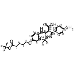 CC(C)(C)OC(=O)CCCCOc1ccc(Nc2c(C(N)=O)c(-c3ccc(N)cc3)nn2C(C)(C)C)nc1